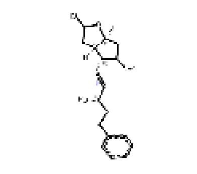 OC1C[C@H]2[C@H](CC(O)[C@@H]2/C=C/[C@@H](O)CCc2ccccc2)O1